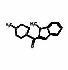 CN1CCN(C(=O)c2cc3ccccc3n2C)CC1